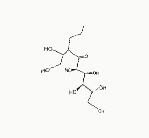 CCCC(C(=O)[C@H](O)[C@@H](O)[C@H](O)[C@H](O)CO)C(O)CO